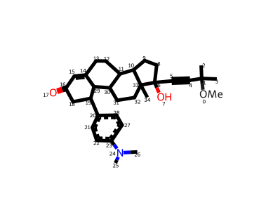 COC(C)(C)C#CC1(O)CCC2C3CCC4=CC(=O)CC(c5ccc(N(C)C)cc5)C4C3CCC21C